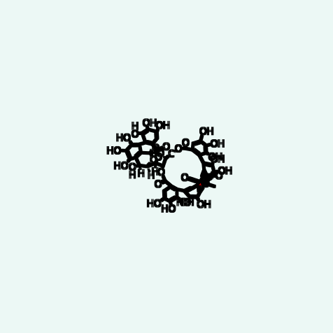 O=C1O[C@H]([C@@H]2OC(=O)c3cc(O)c(O)c(O)c3-c3c(O)c(O)c4oc(=O)c5c(c(O)c(O)c6oc(=O)c3c4c65)-c3c(cc(O)c(O)c3O)C(=O)OC[C@H]2O)[C@@H]2OC(=O)c3c(c(O)c(O)c(O)c3[C@H]2O)-c2c1cc(O)c(O)c2O